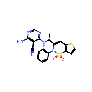 C[C@H](Nc1ncnc(N)c1C#N)C1=Cc2sccc2S(=O)(=O)N1c1ccccc1